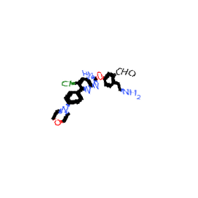 NCCc1ccc(Oc2nc3nc(-c4ccc(N5CCOCC5)cc4)c(Cl)cc3[nH]2)cc1C=O